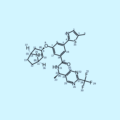 Cc1cnc(-c2cc(O[C@H]3C[C@H]4CC[C@@H](C3)N4)cc(C(=O)N[C@H](C)c3cnc(C(F)(F)F)nc3)c2)s1